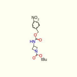 CC(C)(C)OC(=O)N1CC(NC(=O)OCc2ccc([N+](=O)[O-])cc2)C1